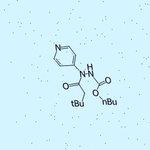 CCCCOC(=O)NN(C(=O)CC(C)(C)C)c1ccncc1